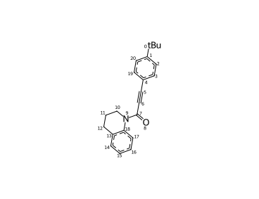 CC(C)(C)c1ccc(C#CC(=O)N2CCCc3ccccc32)cc1